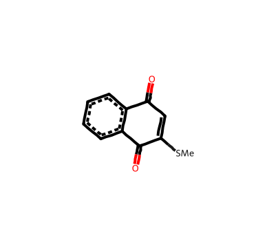 [CH2]SC1=CC(=O)c2ccccc2C1=O